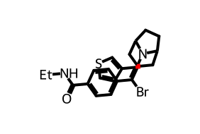 CCNC(=O)c1ccc(C(Br)=C2CC3CCC(C2)N3Cc2ccsc2)cc1